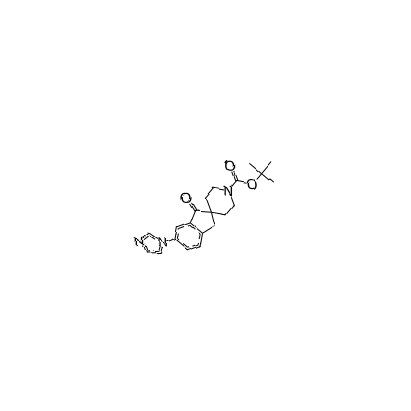 CC(C)(C)OC(=O)N1CCC2(CC1)Cc1ccc(-n3ccnc3)cc1C2=O